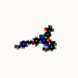 CCN(CC)C(=O)c1ccc(Oc2nc(Nc3ccc(OCCCN4CCN(C)CC4)c(F)c3)ncc2C(=O)Nc2c(C)cccc2C)c(Cl)c1